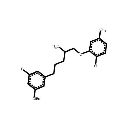 Cc1ccc(Cl)c(OCC(C)CCCc2cc(F)cc(OCC(C)C)c2)c1